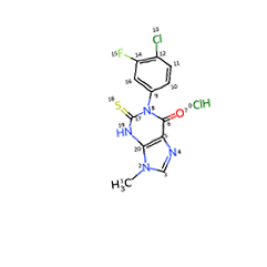 Cl.Cn1cnc2c(=O)n(-c3ccc(Cl)c(F)c3)c(=S)[nH]c21